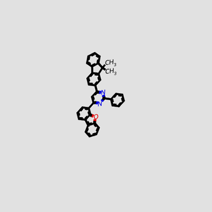 CC1(C)c2ccccc2-c2ccc(-c3cc(-c4cccc5c4oc4ccccc45)nc(-c4ccccc4)n3)cc21